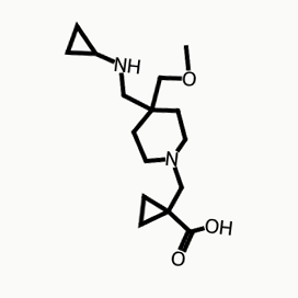 COCC1(CNC2CC2)CCN(CC2(C(=O)O)CC2)CC1